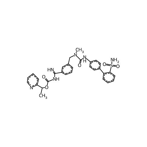 CC(OC(=O)NC(=N)c1cccc(CN(C)C(=O)Nc2ccc(-c3ccccc3S(N)(=O)=O)cc2)c1)c1ccccn1